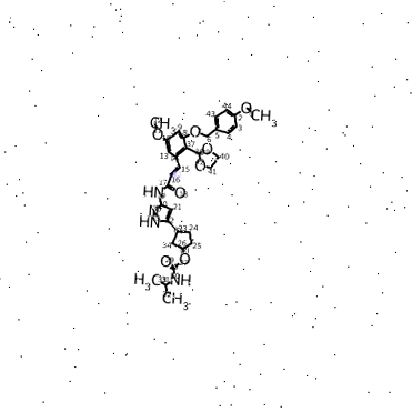 COc1ccc(COc2cc(OC)cc(/C=C/C(=O)Nc3cc([C@H]4CC[C@@H](OC(=O)NC(C)C)C4)[nH]n3)c2C2OCCO2)cc1